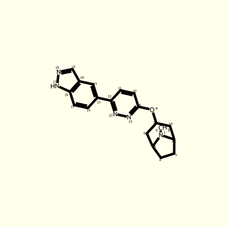 CN1C2CCC1CC(Oc1ccc(-c3ccc4[nH]ncc4c3)nn1)C2